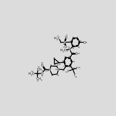 CCS(=O)(=O)c1ccc(Cl)cc1N(C)C(=O)c1cc(C2CC2)c(CN2CCN(C(=O)OC(C)(C)C)CC2)c(C(F)(F)F)c1